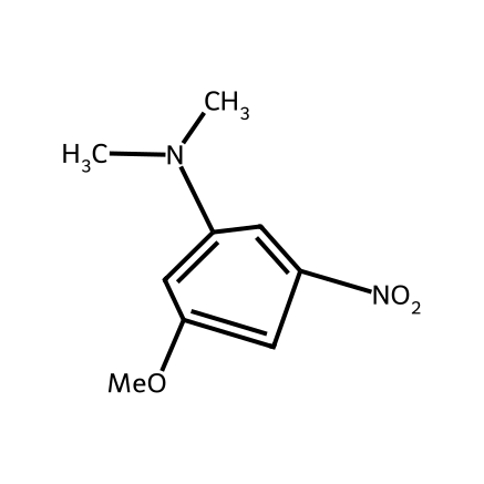 COc1cc(N(C)C)cc([N+](=O)[O-])c1